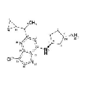 CC(c1cc(N[C@H]2CC[C@H](N)C2)n2ncc(Cl)c2n1)C1CC1